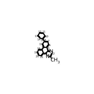 Cc1cnc2c3ccc(-c4ccccc4)cc3c3ccccc3c2n1